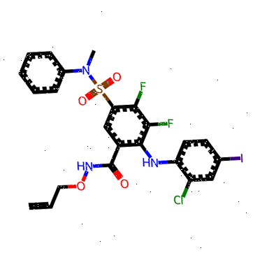 C=CCONC(=O)c1cc(S(=O)(=O)N(C)c2ccccc2)c(F)c(F)c1Nc1ccc(I)cc1Cl